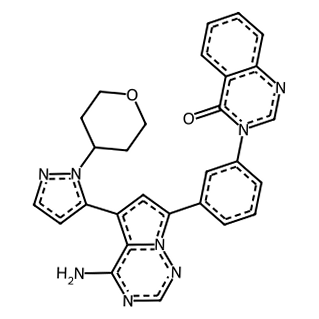 Nc1ncnn2c(-c3cccc(-n4cnc5ccccc5c4=O)c3)cc(-c3ccnn3C3CCOCC3)c12